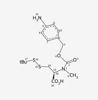 CN(C(=O)OCc1ccc(N)cc1)[C@H](CSSC(C)(C)C)C(=O)O